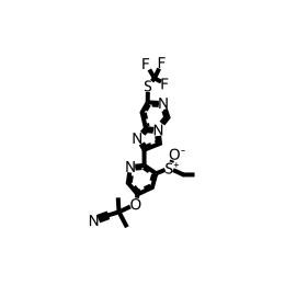 CC[S+]([O-])c1cc(OC(C)(C)C#N)cnc1-c1cn2cnc(SC(F)(F)F)cc2n1